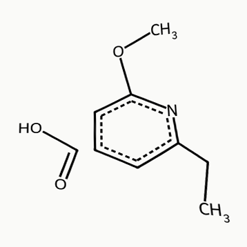 CCc1cccc(OC)n1.O=CO